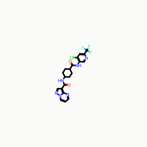 O=C(NC1CCC(C(=O)Nc2cnc(C(F)(F)F)cc2Cl)CC1)c1cnn2cccnc12